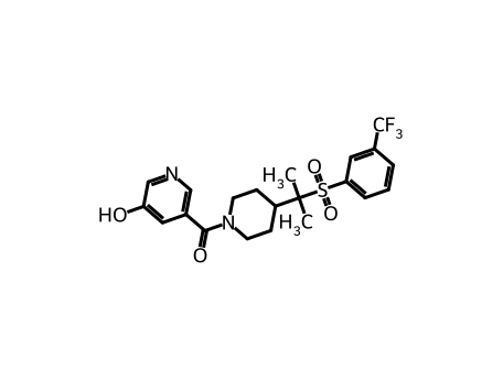 CC(C)(C1CCN(C(=O)c2cncc(O)c2)CC1)S(=O)(=O)c1cccc(C(F)(F)F)c1